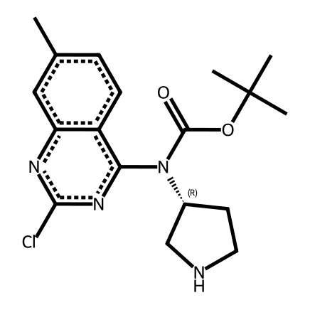 Cc1ccc2c(N(C(=O)OC(C)(C)C)[C@@H]3CCNC3)nc(Cl)nc2c1